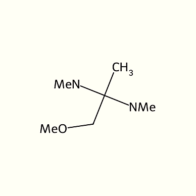 CNC(C)(COC)NC